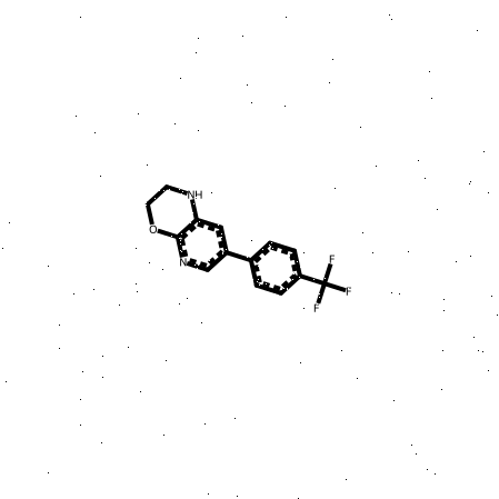 FC(F)(F)c1ccc(-c2cnc3c(c2)NCCO3)cc1